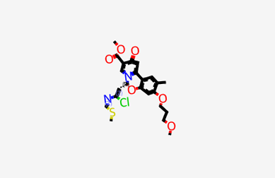 COCCCOc1cc2c(cc1C)-c1cc(=O)c(C(=O)OC)cn1[C@@H](/C=C(Cl)/N=C\SC)O2